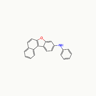 c1ccc(Nc2ccc3c(c2)oc2ccc4ccccc4c23)cc1